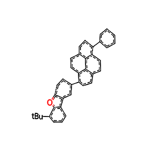 CC(C)(C)c1cccc2c1oc1ccc(-c3ccc4ccc5c(-c6ccccc6)ccc6ccc3c4c65)cc12